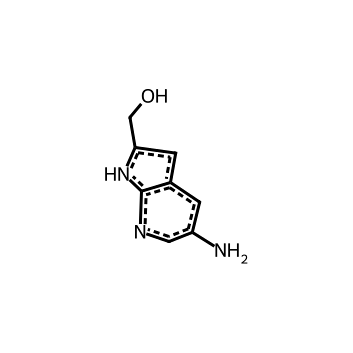 Nc1cnc2[nH]c(CO)cc2c1